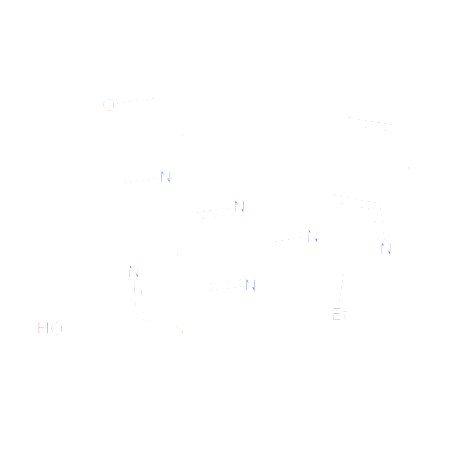 CCc1nc2ccccc2n1-c1nc(N2CCOCC2)c2nc(CO)sc2n1